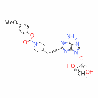 COc1ccc(OC(=O)N2CCC(CC#Cc3nc(N)c4ncn(CO[C@H](CO)[C@@H](C)O)c4n3)CC2)cc1